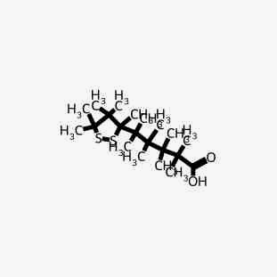 CC1(C)SSC(C)(C(C)(C)C(C)(C)C(C)(C)C(C)(C)C(=O)O)C1(C)C